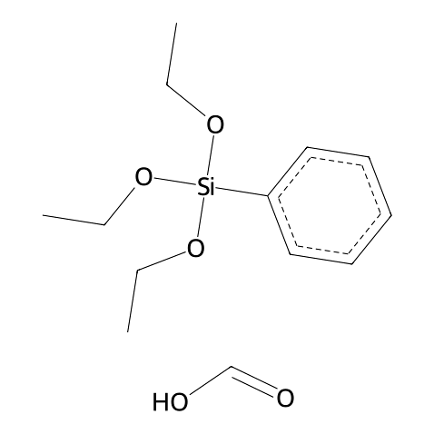 CCO[Si](OCC)(OCC)c1ccccc1.O=CO